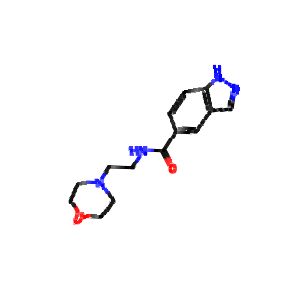 O=C(NCCN1CCOCC1)c1ccc2[nH]ncc2c1